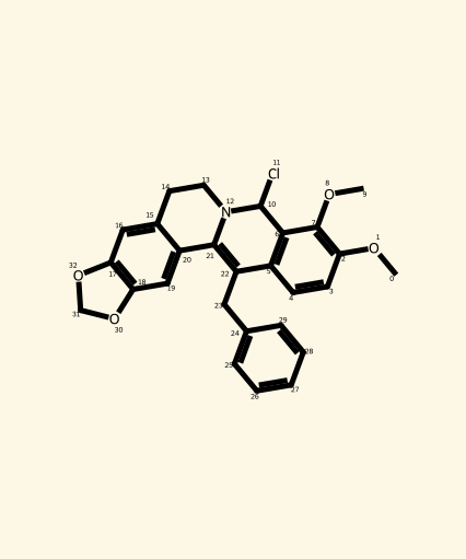 COc1ccc2c(c1OC)C(Cl)N1CCc3cc4c(cc3C1=C2Cc1ccccc1)OCO4